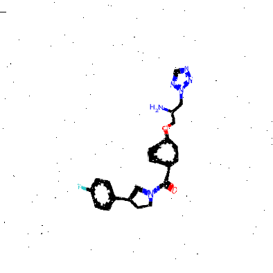 NC(COc1ccc(C(=O)N2CCC(c3ccc(F)cc3)C2)cc1)Cn1ncnn1